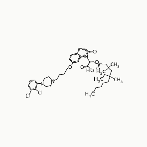 CCCCCC(C)(CC)CC(C)(C)CC(=O)OC(C(=O)O)n1c(=O)ccc2ccc(OCCCCN3CCN(c4cccc(Cl)c4Cl)CC3)cc21